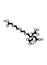 O=C(O)C[N+]CCOCCOCC[N+](CC(=O)O)(CC(=O)O)CC(=O)O